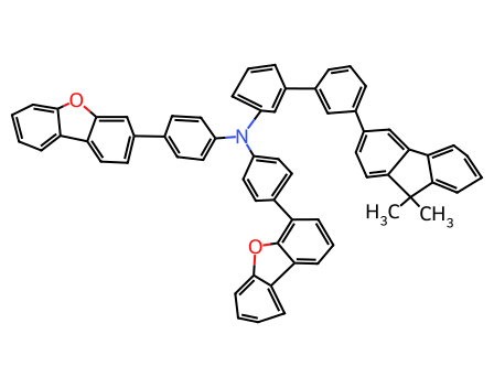 CC1(C)c2ccccc2-c2cc(-c3cccc(-c4cccc(N(c5ccc(-c6ccc7c(c6)oc6ccccc67)cc5)c5ccc(-c6cccc7c6oc6ccccc67)cc5)c4)c3)ccc21